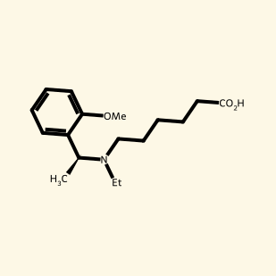 CCN(CCCCCC(=O)O)[C@@H](C)c1ccccc1OC